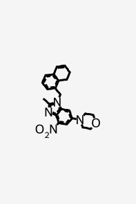 Cc1nc2c([N+](=O)[O-])cc(N3CCOCC3)cc2n1Cc1cccc2c1CCC=C2